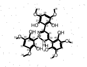 COc1cc(OC)c(O)c(C2=CC(c3c(O)c(OC)cc(OC)c3O)=NN(c3c(O)c(OC)cc(OC)c3O)N2)c1O